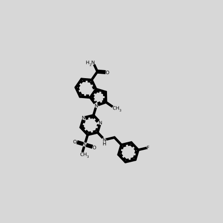 Cc1cc2c(C(N)=O)cccc2n1-c1ncc(S(C)(=O)=O)c(NCc2cccc(F)c2)n1